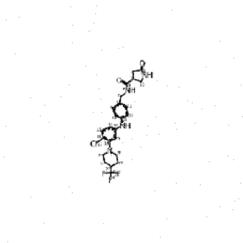 O=C1CC(C(=O)NCc2ccc(Nc3ccc(Cl)c(N4CCC(C(F)(F)F)CC4)c3)cc2)CN1